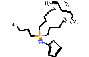 C=CC=CC.CC(C)CCCP(CCCC(C)C)(CCCC(C)C)=NC1=CC=CC1.[Ti]